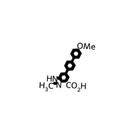 COc1ccc(-c2ccc(-c3cc(C(=O)O)c4nc(C)[nH]c4c3)cc2)cc1